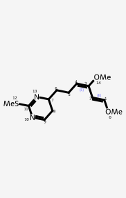 CO/C=C/C(=C\CCC1CC=NC(SC)=N1)OC